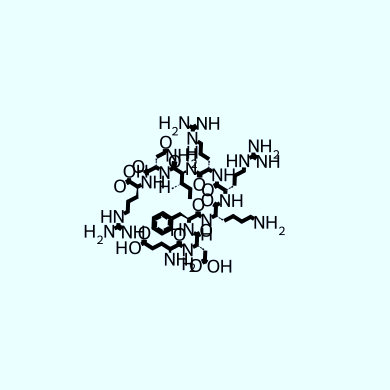 CC[C@H](C)[C@H](NC(=O)[C@H](CCCNC(=N)N)NC(=O)[C@H](CCCNC(=N)N)NC(=O)[C@H](CCCCN)NC(=O)[C@H](Cc1ccccc1)NC(=O)[C@H](CC(=O)O)NC(=O)[C@@H](N)CCC(=O)O)C(=O)N[C@@H](CC(N)=O)C(=O)N[C@@H](CCCNC(=N)N)C(=O)O